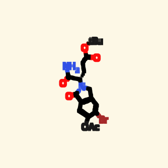 CC(=O)Oc1cc2c(cc1Br)CN([C@@H](CCC(=O)OC(C)(C)C)C(N)=O)C2=O